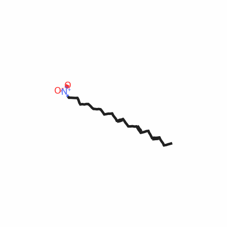 CCC=CCC=CCC=CCCCCCCCC[N+](=O)[O-]